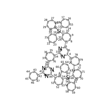 c1ccc(-c2cc(-c3cccc([Si](c4ccccc4)(c4ccccc4)c4ccccc4)c3)nc(-c3cccc(-c4nc(-c5ccccc5)nc(-c5cccc([Si](c6ccccc6)(c6ccccc6)c6ccccc6)c5)n4)c3)n2)cc1